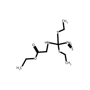 CCOC(=O)CNC([PH2]=S)(SCC)SCC